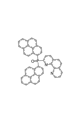 O=P(c1ccc2ccc3cccnc3c2n1)(c1ccc2ccc3cccc4ccc1c2c34)c1ccc2ccc3cccc4ccc1c2c34